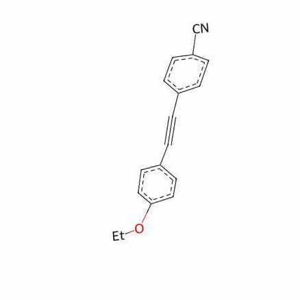 CCOc1ccc(C#Cc2ccc(C#N)cc2)cc1